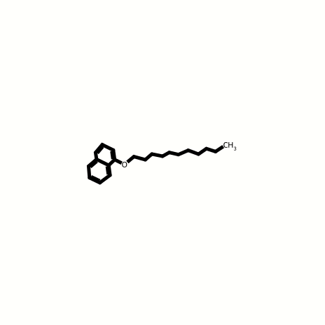 CCCCCCCCCCCOc1cccc2ccccc12